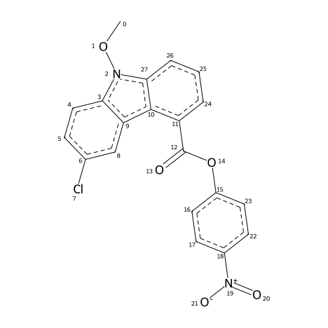 COn1c2ccc(Cl)cc2c2c(C(=O)Oc3ccc([N+](=O)[O-])cc3)cccc21